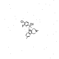 Cc1ccc2c(c1)c1c(n2CC(C)(O)c2ccc(Cl)c(F)c2)CCN(C)CC1